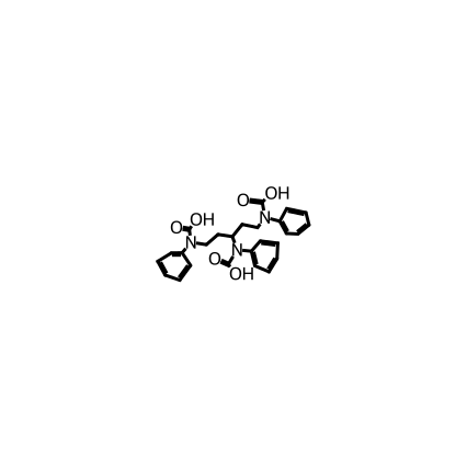 O=C(O)N(CCC(CCN(C(=O)O)c1ccccc1)N(C(=O)O)c1ccccc1)c1ccccc1